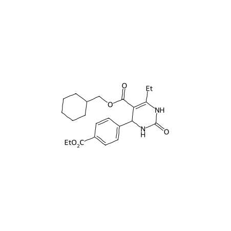 CCOC(=O)c1ccc(C2NC(=O)NC(CC)=C2C(=O)OCC2CCCCC2)cc1